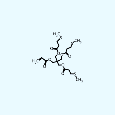 C=CC(=O)OCC(COC(=O)CCSC)(COC(=O)CCSC)COC(=O)CCSC